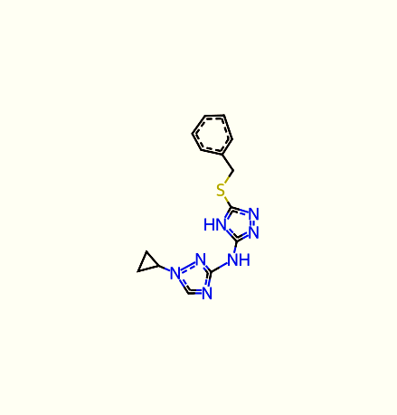 c1ccc(CSc2nnc(Nc3ncn(C4CC4)n3)[nH]2)cc1